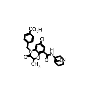 CC1Oc2c(C(=O)NC3CN4CCC3CC4)cc(Cl)cc2N(Cc2ccc(C(=O)O)cc2)C1=O